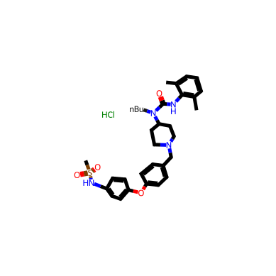 CCCCN(C(=O)Nc1c(C)cccc1C)C1CCN(Cc2ccc(Oc3ccc(NS(C)(=O)=O)cc3)cc2)CC1.Cl